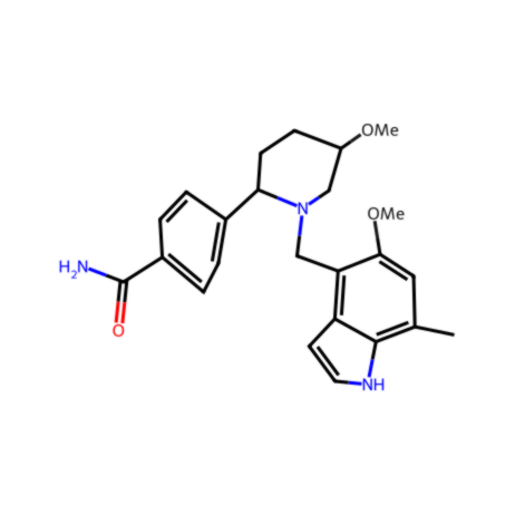 COc1cc(C)c2[nH]ccc2c1CN1CC(OC)CCC1c1ccc(C(N)=O)cc1